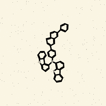 c1ccc(-c2ccc3ccc(-c4ccc(N(c5cccc6c5sc5ccccc56)c5cccc6oc7ccccc7c56)cc4)cc3c2)cc1